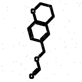 O=COCc1ccc2c(c1)CCCO2